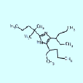 CCCC(CC)c1nc(C(C)(C)CCC)[nH]c1C(CC)CCC